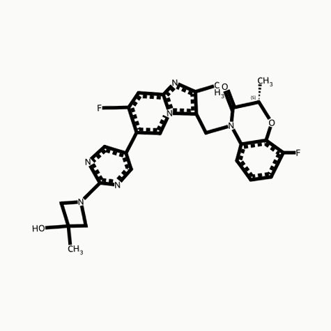 Cc1nc2cc(F)c(-c3cnc(N4CC(C)(O)C4)nc3)cn2c1CN1C(=O)[C@H](C)Oc2c(F)cccc21